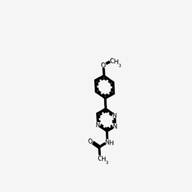 COc1ccc(-c2cnc(NC(C)=O)nn2)cc1